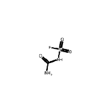 NC(=O)NS(=O)(=O)F